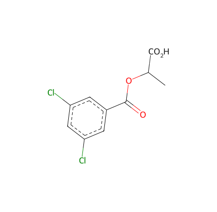 CC(OC(=O)c1cc(Cl)cc(Cl)c1)C(=O)O